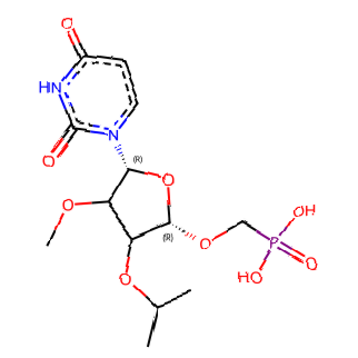 COC1C(OC(C)C)[C@@H](OCP(=O)(O)O)O[C@H]1n1ccc(=O)[nH]c1=O